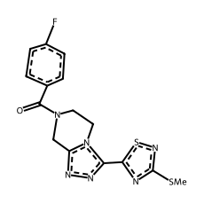 CSc1nsc(-c2nnc3n2CCN(C(=O)c2ccc(F)cc2)C3)n1